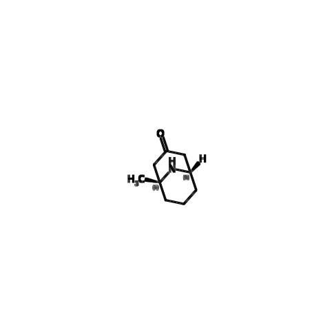 C[C@@]12CCC[C@@H](CC(=O)C1)N2